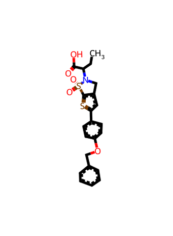 CCC(C(=O)O)N1Cc2cc(-c3ccc(OCc4ccccc4)cc3)sc2S1(=O)=O